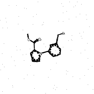 COC(=O)c1cccn1-c1cccc(CBr)c1